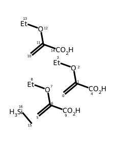 C=C(OCC)C(=O)O.C=C(OCC)C(=O)O.C=C(OCC)C(=O)O.C[SiH3]